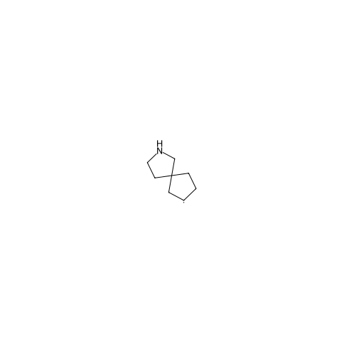 [CH]1CCC2(C1)CCNC2